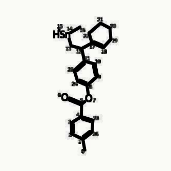 Cc1ccc(C(=O)Oc2ccc(C([CH2][SnH]([CH3])[CH3])C3=CCCCC3)cc2)cc1